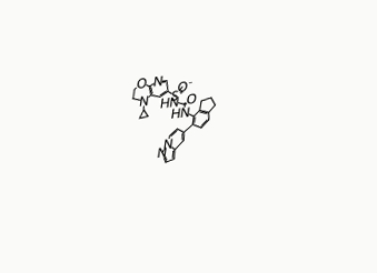 O=C(Nc1c(-c2ccn3nccc3c2)ccc2c1CCC2)N[S+]([O-])c1cnc2c(c1)N(C1CC1)CCO2